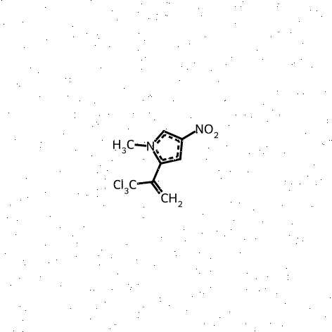 C=C(c1cc([N+](=O)[O-])cn1C)C(Cl)(Cl)Cl